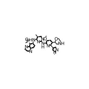 COc1cc(C2CNCCO2)c(-c2cnn(C)c2)nc1Nc1ncc(C)c(Nc2ccc3nccnc3c2P(C)(C)=O)n1